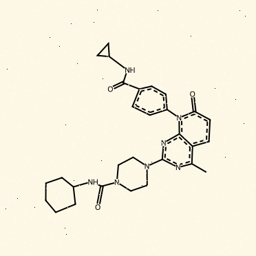 Cc1nc(N2CCN(C(=O)NC3CCCCC3)CC2)nc2c1ccc(=O)n2-c1ccc(C(=O)NC2CC2)cc1